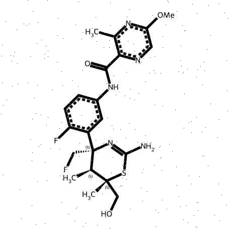 COc1cnc(C(=O)Nc2ccc(F)c([C@@]3(CF)N=C(N)S[C@](C)(CO)[C@H]3C)c2)c(C)n1